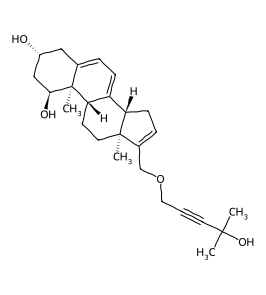 CC(C)(O)C#CCOCC1=CC[C@H]2C3=CC=C4C[C@@H](O)C[C@H](O)[C@]4(C)[C@H]3CC[C@]12C